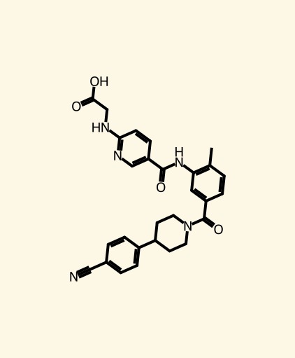 Cc1ccc(C(=O)N2CCC(c3ccc(C#N)cc3)CC2)cc1NC(=O)c1ccc(NCC(=O)O)nc1